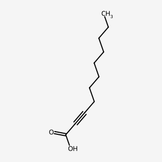 CCCCCCCCC#CC(=O)O